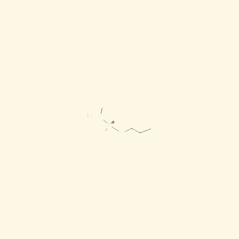 CCCOP(=O)([O-])OF.[Li+]